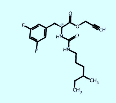 C#CCOC(=O)[C@H](Cc1cc(F)cc(F)c1)NC(=O)NCCCC(C)CC